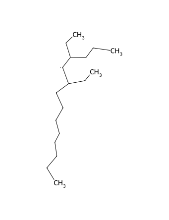 CCCCCCCCC([CH]C(CC)CCC)CC